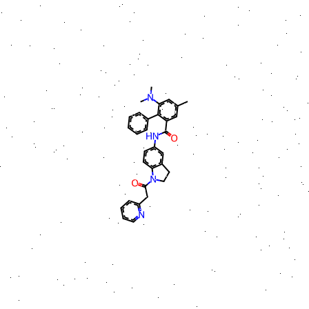 Cc1cc(C(=O)Nc2ccc3c(c2)CCN3C(=O)Cc2ccccn2)c(-c2ccccc2)c(N(C)C)c1